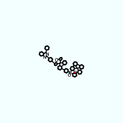 O=P(c1ccccc1)(c1ccc(-c2cccc3c2-c2ccccc2C32c3ccccc3Oc3c(-c4ccc(-c5nc(-c6ccccc6)c6ccccc6n5)cc4)cccc32)cc1)c1cccc2c1Oc1ccccc1C21c2ccccc2-c2ccccc21